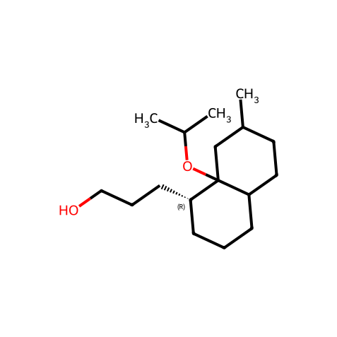 CC1CCC2CCC[C@H](CCCO)C2(OC(C)C)C1